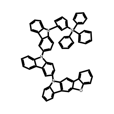 c1ccc([Si](c2ccccc2)(c2ccccc2)c2cccc(-n3c4ccccc4c4cc(-n5c6ccccc6c6cc(-n7c8ccccc8c8cc9oc%10ccccc%10c9cc87)ccc65)ccc43)c2)cc1